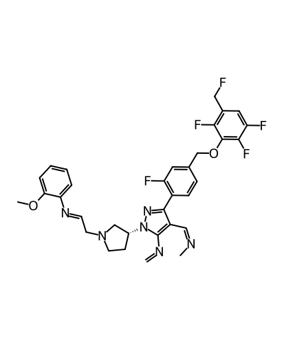 C=Nc1c(/C=N\C)c(-c2ccc(COc3c(F)c(F)cc(CF)c3F)cc2F)nn1[C@@H]1CCN(C/C=N/c2ccccc2OC)C1